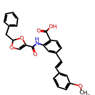 COc1cccc(C=Cc2ccc(C(=O)O)c(NC(=O)C3=COC(Cc4ccccc4)O3)c2)c1